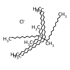 CCCCCCCCCCCCC(C)C(CCCCCCCCCCCC)(CCCCCCCCCCCC)C(CCCCCCCCCCCC)(CCCCCCCCCCCC)[P+](CCCC)(CCCC)CCCCCCCCCCCC.[Cl-]